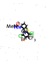 CNC(=O)Nc1cccc(Sc2nc(Cl)c(Br)c(C(F)(F)F)c2Cl)c1C